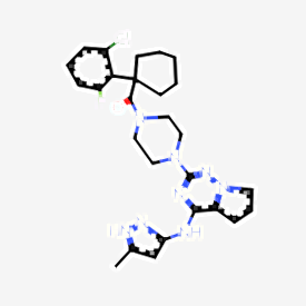 Cc1cc(Nc2nc(N3CCN(C(=O)C4(c5c(F)cccc5Cl)CCCCC4)CC3)nn3cccc23)n[nH]1